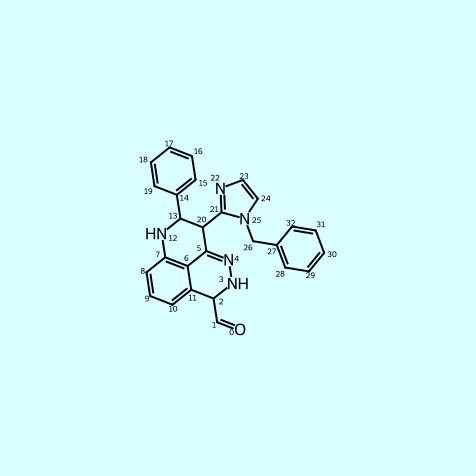 O=CC1NN=C2c3c(cccc31)NC(c1ccccc1)C2c1nccn1Cc1ccccc1